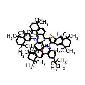 Cc1cc2c3c(c1)N(c1ccc(C(C)(C)C)cc1-c1cc4c(cc1C)C(C)(C)CCC4(C)C)c1c(sc4cc5c(cc14)C(C)(C)CCC5(C)C)B3c1ccc3c(c1N2c1ccc2c(c1)C(C)(C)CCC2(C)C)C(C)(C)CCC3(C)C